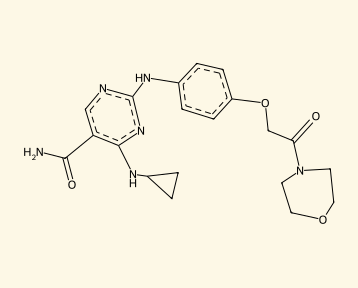 NC(=O)c1cnc(Nc2ccc(OCC(=O)N3CCOCC3)cc2)nc1NC1CC1